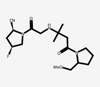 COCC1CCCN1C(=O)CC(C)(C)NCC(=O)N1C[C@@H](F)C[C@H]1C#N